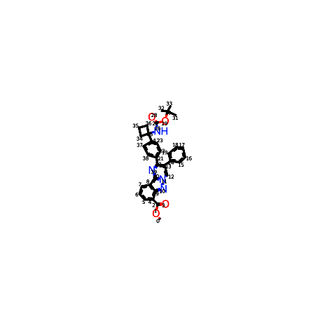 COC(=O)c1cccc2c1nn1cc(-c3ccccc3)c(-c3ccc(C4(NC(=O)OC(C)(C)C)CCC4)cc3)nc21